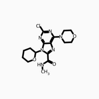 CNC(=O)c1nc2c(N3CCOCC3)nc(Cl)nc2n1C1CCCCO1